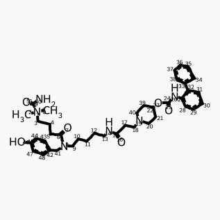 C[N+](C)(CCCC(=O)N(CCCCCNC(=O)CCN1CCC(OC(=O)Nc2ccccc2-c2ccccc2)CC1)Cc1ccc(O)cc1)C(N)=O